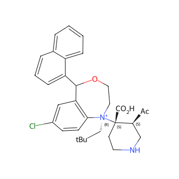 CC(=O)[C@H]1CNCC[C@]1(C(=O)O)[N@+]1(CC(C)(C)C)CCOC(c2cccc3ccccc23)c2cc(Cl)ccc21